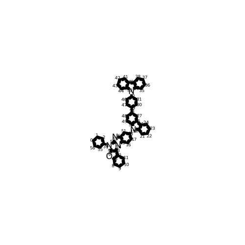 c1ccc(-n2c3oc4ccccc4c3n3c4ccc(-n5c6ccccc6c6cc(-c7ccc(-n8c9ccccc9c9ccccc98)cc7)ccc65)cc4nc23)cc1